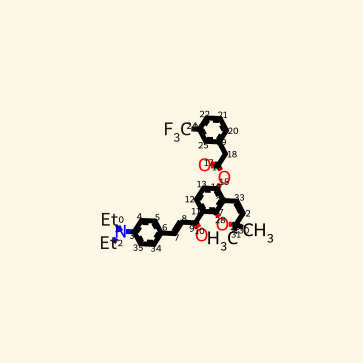 CCN(CC)c1ccc(/C=C/C(=O)c2ccc(OC(=O)Cc3cccc(C(F)(F)F)c3)c3c2OC(C)(C)C=C3)cc1